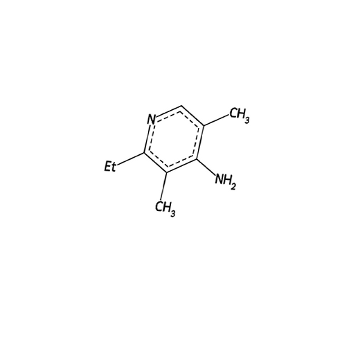 [CH2]Cc1ncc(C)c(N)c1C